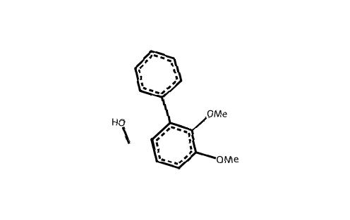 CO.COc1cccc(-c2ccccc2)c1OC